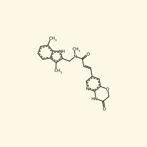 Cc1c(CN(C)C(=O)/C=C/c2cnc3c(c2)OCC(=O)N3)[nH]c2c(C)cccc12